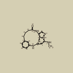 CNc1cc2nc3c(cnn13)NC(=O)CCCc1cccc(c1)N2